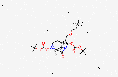 CC(C)(C)OC(=O)OC1=C(COCC[Si](C)(C)C)C2CCN(OC(=O)OC(C)(C)C)[C@@H]3C(=O)N1[C@H]23